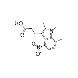 Cc1ccc([N+](=O)[O-])c2c(CCC(=O)O)c(C)n(C)c12